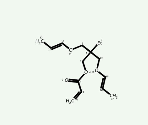 C=CC(=O)OCC(CC)(COC=CC)COC=CC